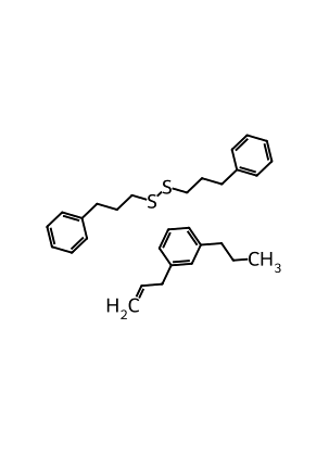 C=CCc1cccc(CCC)c1.c1ccc(CCCSSCCCc2ccccc2)cc1